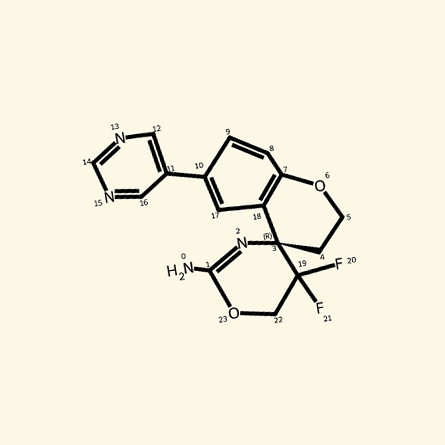 NC1=N[C@@]2(CCOc3ccc(-c4cncnc4)cc32)C(F)(F)CO1